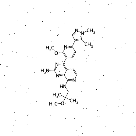 COc1nc(-c2cnn(C)c2C)ccc1-c1nc(N)nc2c(NCC(C)(C)OC)nccc12